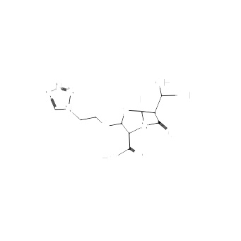 CC(O)C1C(=O)N2C(C(=O)O)C(SCCn3cnnn3)S[C@@H]12